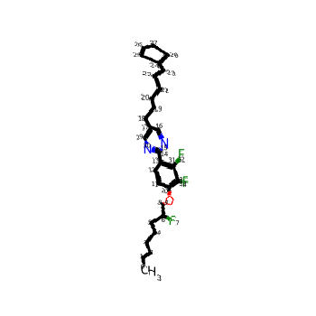 CCCCCCC(F)COc1ccc(-c2ncc(CCCCCCC3CCCC3)cn2)c(F)c1F